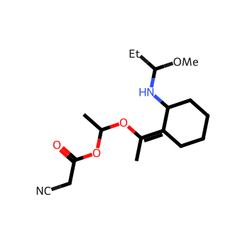 CCC(NC1CCCCC1=C(C)OC(C)OC(=O)CC#N)OC